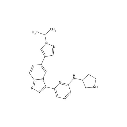 CC(C)n1cc(-c2ccc3ncc(-c4cccc(NC5CCNC5)n4)n3c2)cn1